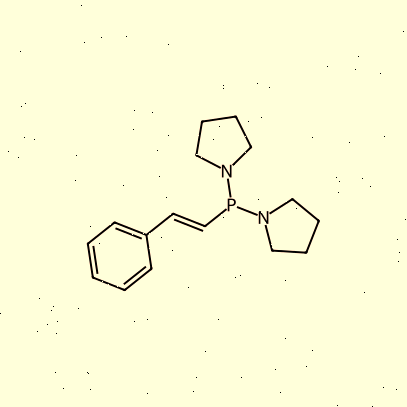 C(=C\P(N1CCCC1)N1CCCC1)/c1ccccc1